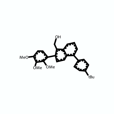 COc1ccc(-c2ccc3c(-c4ccc(C(C)(C)C)cc4)cccc3c2CO)c(OC)c1OC